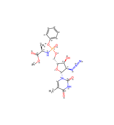 Cc1cn([C@@H]2O[C@H](COP(=O)(N[C@H](C)C(=O)OC(C)C)Oc3ccccc3)[C@@H](O)[C@H]2N=[N+]=[N-])c(=O)[nH]c1=O